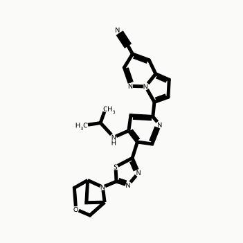 CC(C)Nc1cc(-c2ccc3cc(C#N)cnn23)ncc1-c1nnc(N2C3COCC2C3)s1